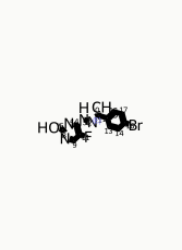 C/C(=N\Nc1nc(O)ncc1F)c1ccc(Br)cc1